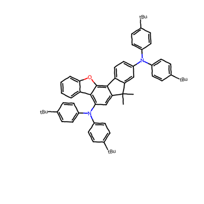 CC(C)(C)c1ccc(N(c2ccc(C(C)(C)C)cc2)c2ccc3c(c2)C(C)(C)c2cc(N(c4ccc(C(C)(C)C)cc4)c4ccc(C(C)(C)C)cc4)c4c(oc5ccccc54)c2-3)cc1